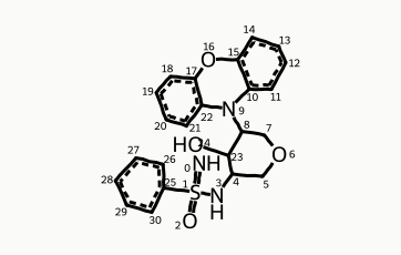 N=S(=O)(NC1COCC(N2c3ccccc3Oc3ccccc32)C1O)c1ccccc1